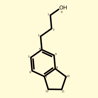 OCCCc1ccc2c(c1)CCC2